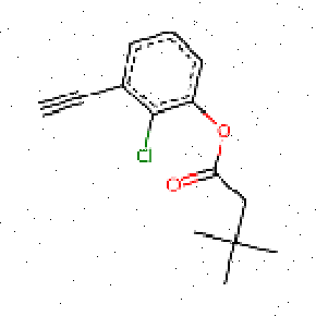 C#Cc1cccc(OC(=O)CC(C)(C)C)c1Cl